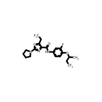 CC(CC(F)(F)F)Oc1ccc(NC(=O)c2nc(N3CCCC3)oc2CC(F)(F)F)cc1F